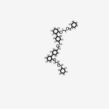 c1ccc(COCCOc2ccccc2-c2ccc(COCc3ccc(-c4ccccc4OCCOCc4ccccc4)cc3)cc2)cc1